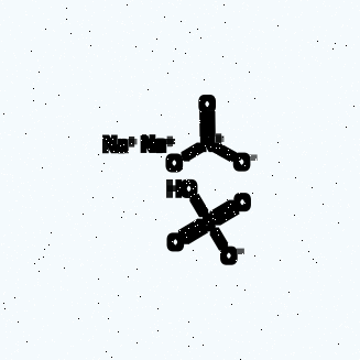 O=S(=O)([O-])O.O=[N+]([O-])[O-].[Na+].[Na+]